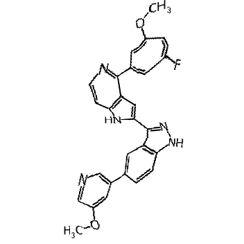 COc1cncc(-c2ccc3[nH]nc(-c4cc5c(-c6cc(F)cc(OC)c6)nccc5[nH]4)c3c2)c1